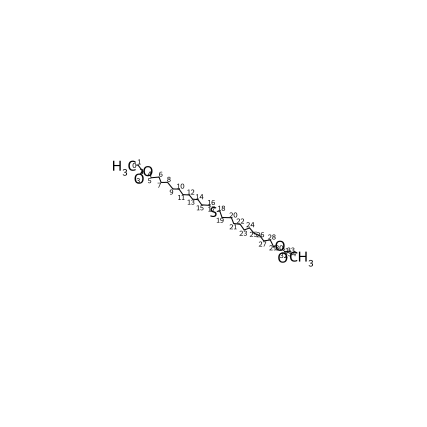 CCC(=O)OCCCCCCCCCCCCSCCCCCCCCCCCCOC(=O)CC